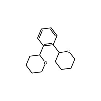 [c]1cccc(C2CCCCO2)c1C1CCCCO1